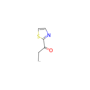 [CH2]CC(=O)c1nccs1